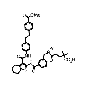 COC(=O)c1ccc(CCc2ccc(NC(=O)c3c(NC(=O)c4cccc(CN(C(=O)CCC(C)(C)C(=O)O)C(C)C)c4)sc4c3CCCC4)cc2)cc1